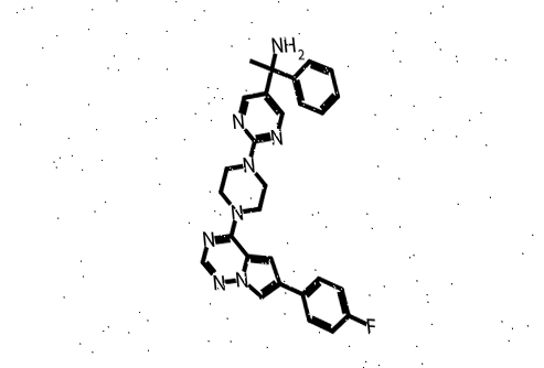 CC(N)(c1ccccc1)c1cnc(N2CCN(c3ncnn4cc(-c5ccc(F)cc5)cc34)CC2)nc1